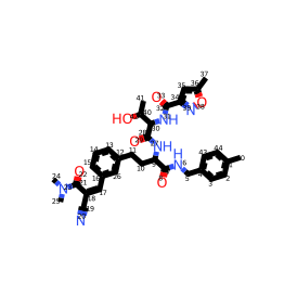 Cc1ccc(CNC(=O)C(CCc2cccc(C=C(C#N)C(=O)N(C)C)c2)NC(=O)C(NC(=O)c2cc(C)on2)C(C)O)cc1